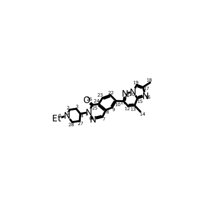 CCN1CCC(n2ncc3cc(-c4cc(C)c5nc(C)cn5n4)ccc3c2=O)CC1